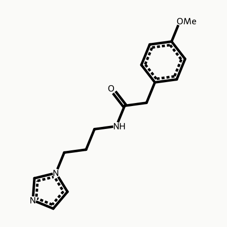 COc1ccc(CC(=O)NCCCn2ccnc2)cc1